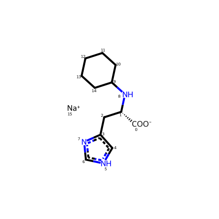 O=C([O-])[C@H](Cc1c[nH]cn1)NC1CCCCC1.[Na+]